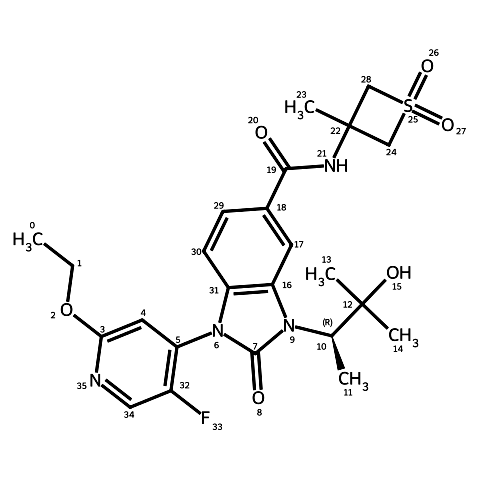 CCOc1cc(-n2c(=O)n([C@H](C)C(C)(C)O)c3cc(C(=O)NC4(C)CS(=O)(=O)C4)ccc32)c(F)cn1